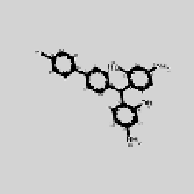 Nc1ccc(C(c2ccc(-c3ccc(I)cc3)cc2)c2ccc(N)cc2O)c(O)c1